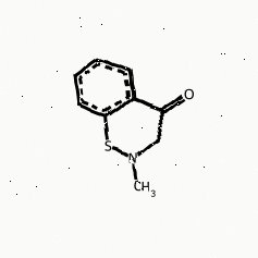 CN1CC(=O)c2ccccc2S1